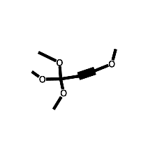 COC#CC(OC)(OC)OC